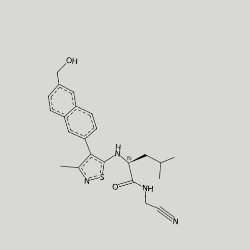 Cc1nsc(N[C@@H](CC(C)C)C(=O)NCC#N)c1-c1ccc2cc(CO)ccc2c1